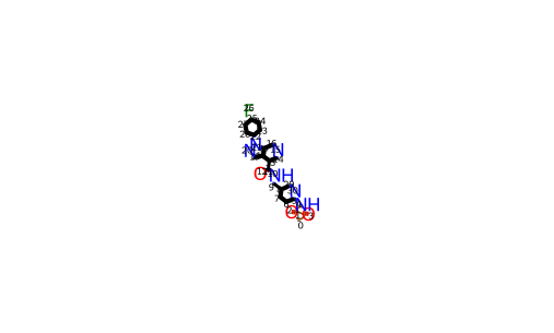 CS(=O)(=O)Nc1ccc(CNC(=O)c2cncc3c2cnn3-c2ccc(F)cc2)cn1